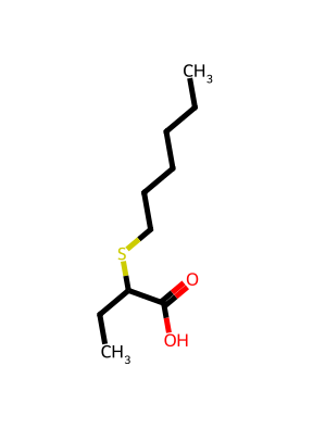 CCCCCCSC(CC)C(=O)O